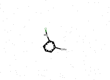 COc1ccc[c]([Mg][Cl])c1